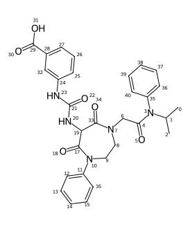 CC(C)N(C(=O)CN1CCN(c2ccccc2)C(=O)C(NC(=O)Nc2cccc(C(=O)O)c2)C1=O)c1ccccc1